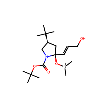 C[SiH](C)O[C@]1(C=CCO)C[C@H](C(C)(C)C)CN1C(=O)OC(C)(C)C